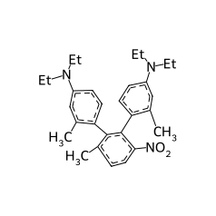 CCN(CC)c1ccc(-c2c(C)ccc([N+](=O)[O-])c2-c2ccc(N(CC)CC)cc2C)c(C)c1